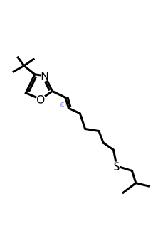 CC(C)CSCCCCC/C=C/c1nc(C(C)(C)C)co1